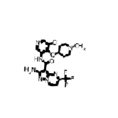 CN1CCC(Oc2c(Cl)cncc2NC(=O)c2c(N)nn3ccc(C(F)(F)F)nc23)CC1